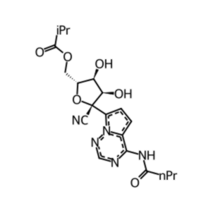 CCCC(=O)Nc1ncnn2c([C@]3(C#N)O[C@H](COC(=O)C(C)C)[C@@H](O)[C@H]3O)ccc12